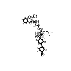 CCC(Oc1ccccc1)C(=O)NCCCCC(NS(=O)(=O)c1ccc(-c2ccc(Br)cc2)cc1)C(=O)O